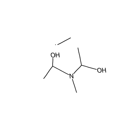 CC(O)N(C)C(C)O.[CH2]C